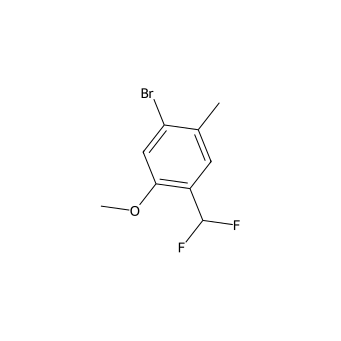 COc1cc(Br)c(C)cc1C(F)F